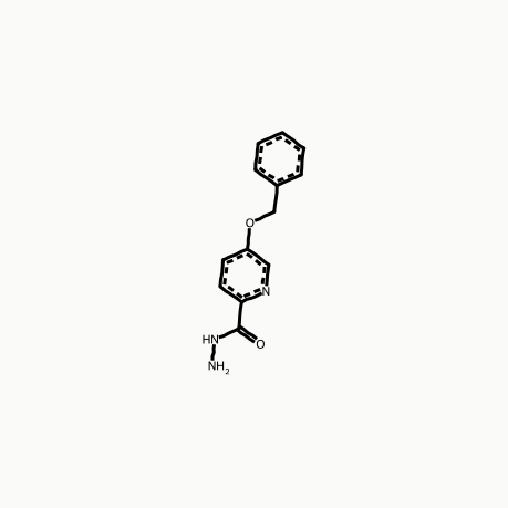 NNC(=O)c1ccc(OCc2ccccc2)cn1